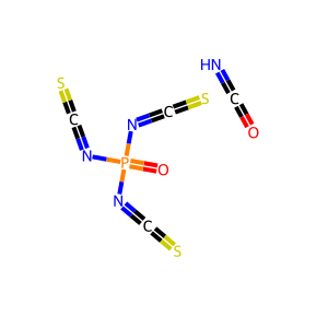 N=C=O.O=P(N=C=S)(N=C=S)N=C=S